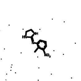 Cc1c(N=C2NCCN2)cccc1[N+](=O)[O-]